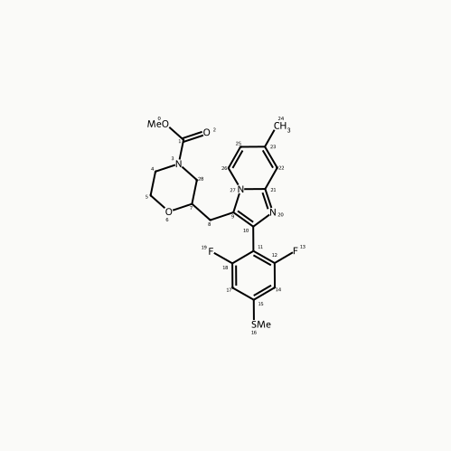 COC(=O)N1CCOC(Cc2c(-c3c(F)cc(SC)cc3F)nc3cc(C)ccn23)C1